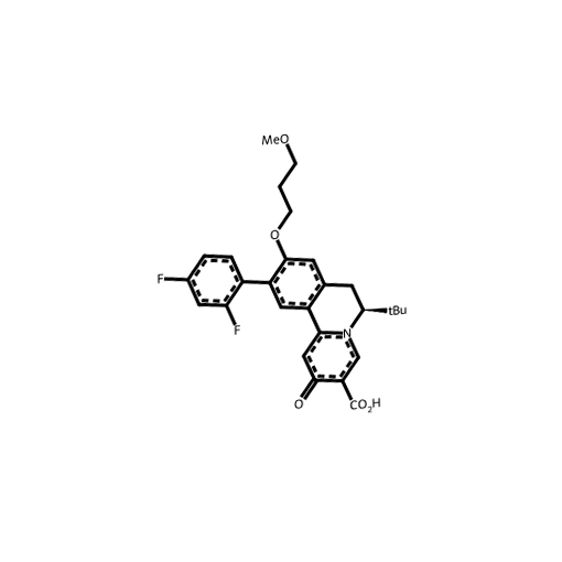 COCCCOc1cc2c(cc1-c1ccc(F)cc1F)-c1cc(=O)c(C(=O)O)cn1[C@H](C(C)(C)C)C2